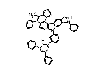 Cc1c(-c2ccccc2)c2ccc3c(c4cc5c(cc4n3-c3cccc(C4=NC(c6ccccc6)=CC(c6ccccc6)N4)c3)N(c3ccccc3)NC5)c2c2ccccc12